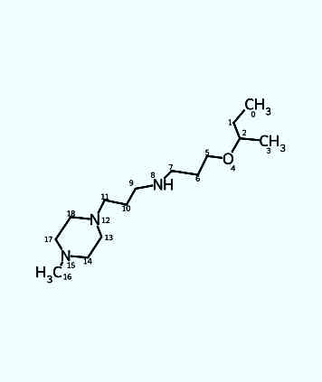 CCC(C)OCCCNCCCN1CCN(C)CC1